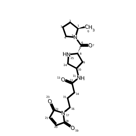 C[C@@H]1CCCN1C(=O)[C@@H]1CC(NC(=O)CCCN2C(=O)C=CC2=O)CN1